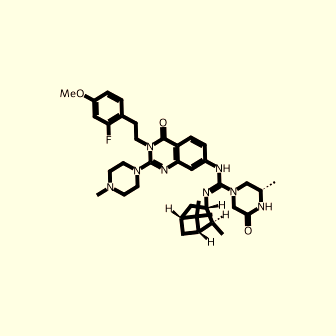 COc1ccc(CCn2c(N3CCN(C)CC3)nc3cc(NC(=N[C@H]4C[C@H]5C[C@@H]([C@@H]4C)C5(C)C)N4CC(=O)N[C@@H](C)C4)ccc3c2=O)c(F)c1